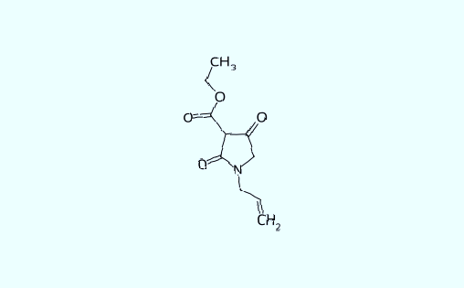 C=CCN1CC(=O)C(C(=O)OCC)C1=O